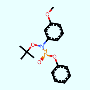 COc1cccc(N(OC(C)(C)C)[PH](=O)Oc2ccccc2)c1